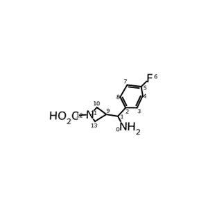 NC(c1ccc(F)cc1)C1CN(C(=O)O)C1